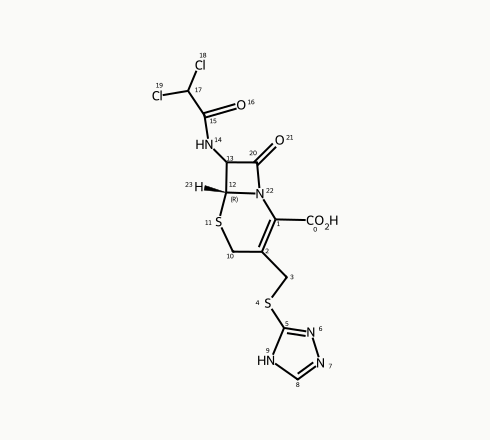 O=C(O)C1=C(CSc2nnc[nH]2)CS[C@@H]2C(NC(=O)C(Cl)Cl)C(=O)N12